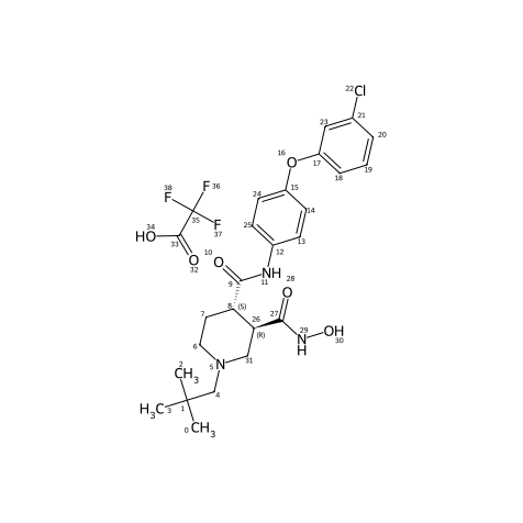 CC(C)(C)CN1CC[C@H](C(=O)Nc2ccc(Oc3cccc(Cl)c3)cc2)[C@@H](C(=O)NO)C1.O=C(O)C(F)(F)F